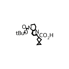 CC(C)(C)OC(=O)N1CCCc2nc(C3(C(=O)O)CC4(CC4)C3)ccc21